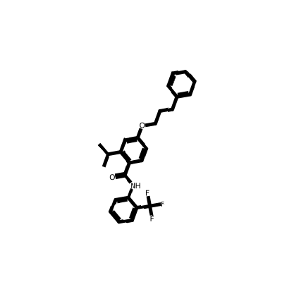 CC(C)c1cc(OCCCC2=CCCC=C2)ccc1C(=O)Nc1ccccc1C(F)(F)F